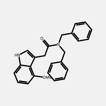 COc1cccc2[nH]cc(CC(=O)N(Cc3ccccc3)Cc3ccccc3)c12